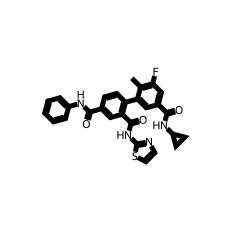 Cc1c(F)cc(C(=O)NC2CC2)cc1-c1ccc(C(=O)Nc2ccccc2)cc1C(=O)Nc1nccs1